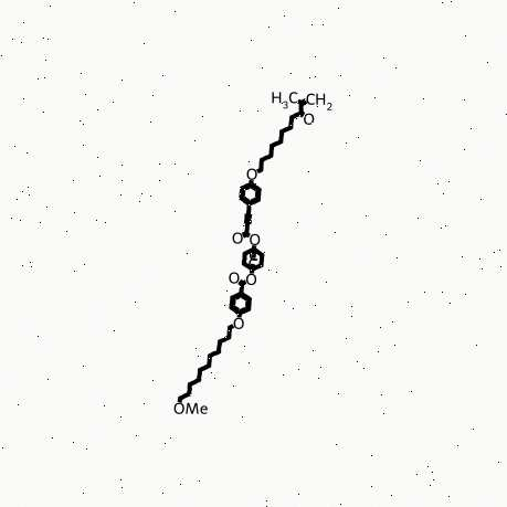 C=C(C)C(=O)CCCCCCCCOc1ccc(C#CC(=O)OC23CCC(OC(=O)c4ccc(OCCCCCCCCCCCOC)cc4)(CC2)CC3)cc1